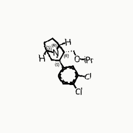 CC(C)OC[C@@H]1[C@@H](c2ccc(Cl)c(Cl)c2)C[C@@H]2CC[C@H]1N2C